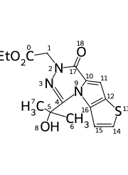 CCOC(=O)Cn1nc(C(C)(C)O)n2c(cc3sccc32)c1=O